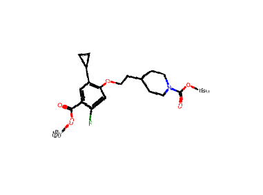 CC(C)(C)OC(=O)c1cc(C2CC2)c(OCCC2CCN(C(=O)OC(C)(C)C)CC2)cc1F